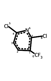 FC(F)(F)c1ccc(Cl)nc1Cl